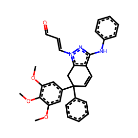 COc1cc(C2(c3ccccc3)C=Cc3c(Nc4ccccc4)nn(C=CC=O)c3C2)cc(OC)c1OC